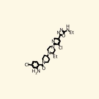 CCNc1nnc(-c2cnc(N3CCN(C4CCN(C(=O)c5ccc(Cl)cc5N)CC4)[C@@H](CC)C3)c(Cl)c2)o1